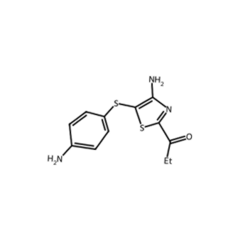 CCC(=O)c1nc(N)c(Sc2ccc(N)cc2)s1